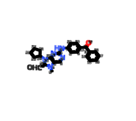 CN1c2cnc(Nc3ccc(C(=O)c4ccccc4)cc3)nc2N(C2CCCC2)C1C=O